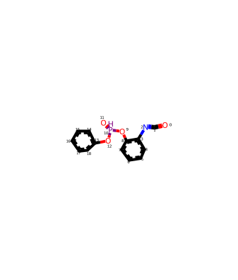 O=C=Nc1ccccc1O[PH](=O)Oc1ccccc1